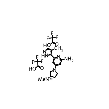 CN[C@@H]1CCN(c2cc(N)nc(-c3[nH]ncc3C)c2)C1.O=C(O)C(F)(F)F.O=C(O)C(F)(F)F